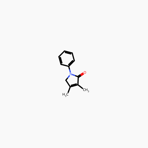 CC1=C(C)C(=O)N(c2ccccc2)C1